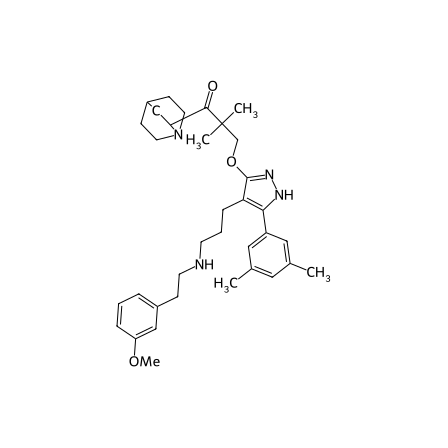 COc1cccc(CCNCCCc2c(OCC(C)(C)C(=O)C3CC4CCN3CC4)n[nH]c2-c2cc(C)cc(C)c2)c1